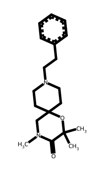 CN1CC2(CCN(CCc3ccccc3)CC2)OC(C)(C)C1=O